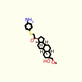 COC[C@@]1(O)CC[C@@]2(C)[C@@H](CC[C@@H]3[C@@H]2CC[C@]2(C)[C@@H](C(=O)CSc4ccc(N)cc4)CC[C@@H]32)C1